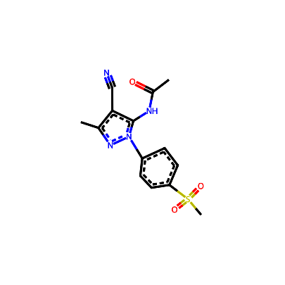 CC(=O)Nc1c(C#N)c(C)nn1-c1ccc(S(C)(=O)=O)cc1